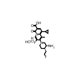 Cc1c(N2CC[C@H](CCF)[C@H](N)C2)c(F)cn2c(=O)c(C(=O)O)cc(C3CC3)c12.Cl.Cl